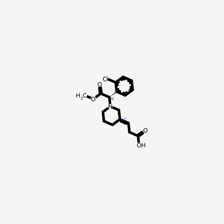 COC(=O)[C@H](c1ccccc1Cl)N1CCC/C(=C\CC(=O)O)C1